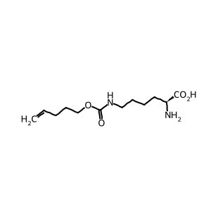 C=CCCCOC(=O)NCCCC[C@H](N)C(=O)O